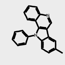 Cc1ccc2c(c1)c1cnc3ccccc3c1n2-c1ccccc1